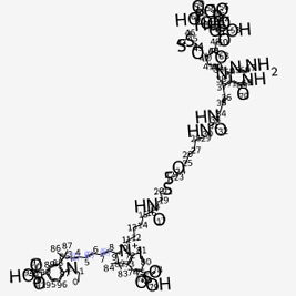 CCN1\C(=C/C=C/C=C/C2=[N+](CCCCCC(=O)NCCSSCOCCCCCNC(=O)NCC#Cc3cn([C@H]4C[C@H](OCS(C)=S)[C@@H](COP(=O)(O)OP(=O)(O)OP(=O)(O)O)O4)c4nc(N)[nH]c(=O)c34)C3=C(C=C(S(=O)(=O)O)C=I3)C2(C)C)C(C)(C)c2cc(S(=O)(=O)O)ccc21